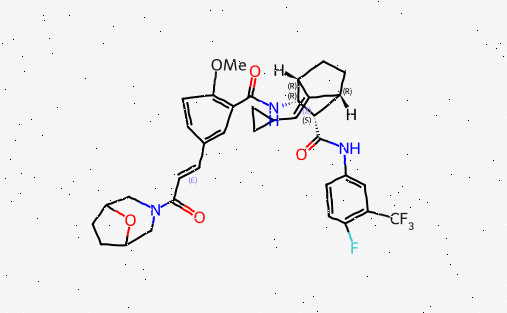 COc1ccc(/C=C/C(=O)N2CC3CCC(C2)O3)cc1C(=O)N[C@H]1[C@@H](C(=O)Nc2ccc(F)c(C(F)(F)F)c2)[C@H]2CC[C@@H]1/C2=C\C1CC1